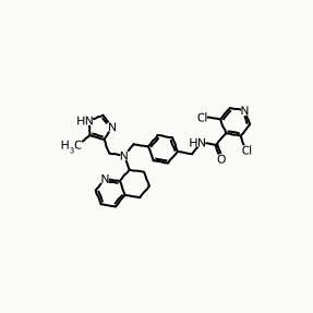 Cc1[nH]cnc1CN(Cc1ccc(CNC(=O)c2c(Cl)cncc2Cl)cc1)C1CCCc2cccnc21